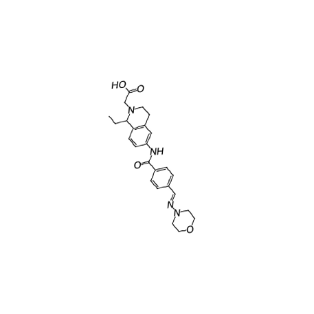 CCC1c2ccc(NC(=O)c3ccc(C=NN4CCOCC4)cc3)cc2CCN1CC(=O)O